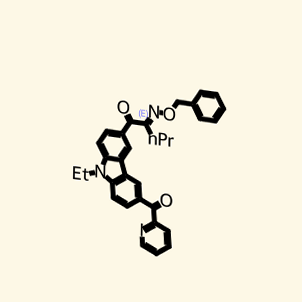 CCC/C(=N\OCc1ccccc1)C(=O)c1ccc2c(c1)c1cc(C(=O)C3=IC=CC=C3)ccc1n2CC